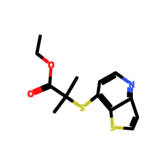 CCOC(=O)C(C)(C)Sc1ccnc2ccsc12